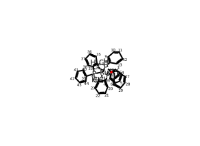 C[PH](c1ccccc1)(c1ccccc1)[Ru]([Cl])([Cl])([PH](C)(c1ccccc1)c1ccccc1)[PH](C)(c1ccccc1)c1ccccc1